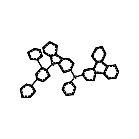 c1ccc(-c2ccc(-n3c4ccccc4c4ccc(N(c5ccccc5)c5ccc6c7ccccc7c7ccccc7c6c5)cc43)c(-c3ccccc3)c2)cc1